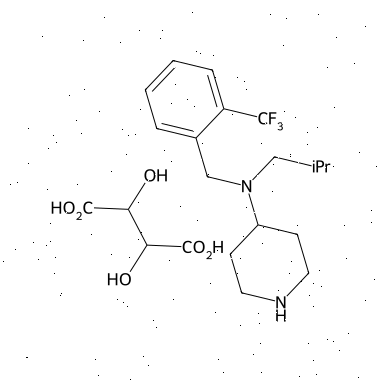 CC(C)CN(Cc1ccccc1C(F)(F)F)C1CCNCC1.O=C(O)C(O)C(O)C(=O)O